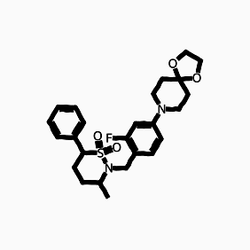 CC1CCC(c2ccccc2)S(=O)(=O)N1Cc1ccc(N2CCC3(CC2)OCCO3)cc1F